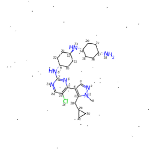 Cn1ncc(-c2nc(N[C@H]3CC[C@H](N[C@H]4CC[C@@H](N)CC4)CC3)ncc2Cl)c1CC1CC1